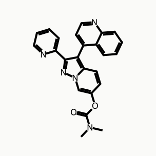 CN(C)C(=O)Oc1ccc2c(-c3ccnc4ccccc34)c(-c3ccccn3)nn2c1